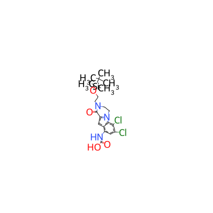 CC(C)(C)[Si](C)(C)OCCN1CCn2c(cc3c(NC(=O)O)cc(Cl)c(Cl)c32)C1=O